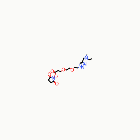 CCN(C)Cc1cn(CCOCCOCCC(=O)ON2C(=O)CCC2=O)nn1